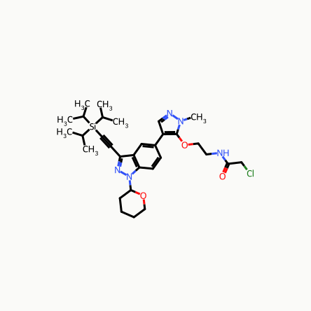 CC(C)[Si](C#Cc1nn(C2CCCCO2)c2ccc(-c3cnn(C)c3OCCNC(=O)CCl)cc12)(C(C)C)C(C)C